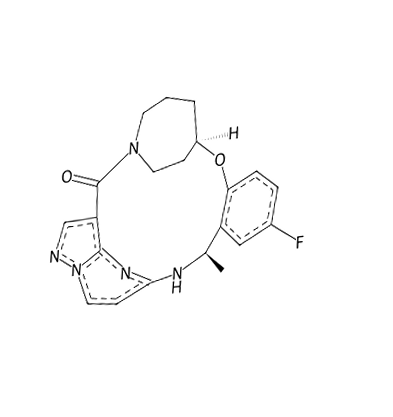 C[C@H]1Nc2ccn3ncc(c3n2)C(=O)N2CCC[C@H](CC2)Oc2ccc(F)cc21